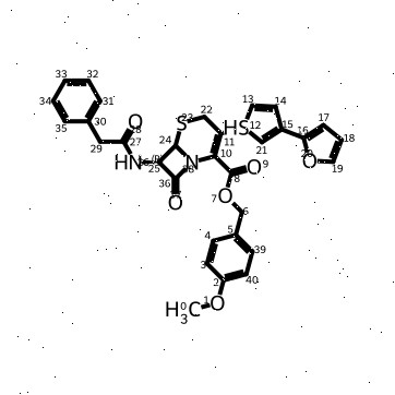 COc1ccc(COC(=O)C2=C([SH]3C=CC(c4ccco4)=C3)CSC3[C@H](NC(=O)Cc4ccccc4)C(=O)N23)cc1